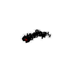 Cc1oc([S+]([O-])N2CCC(C(F)(F)P)CC2)cc1NC(=O)Nc1cccc2c1CCCC2